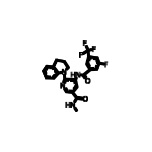 CNC(=O)c1cnc(N2CCCc3ccccc32)c(NC(=O)c2cc(F)cc(C(F)(F)F)c2)c1